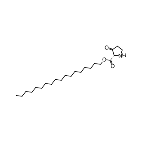 CCCCCCCCCCCCCCCCCCOC(=O)[C@H]1NCCC1=O